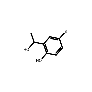 CC(O)c1cc(Br)ccc1O